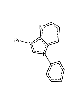 CC(C)[n+]1cn(-c2ccccc2)c2cccnc21